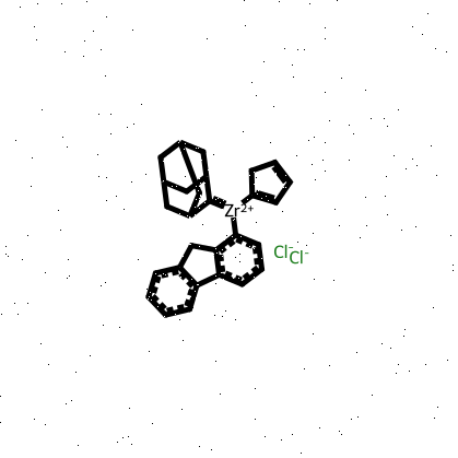 C1=CC[C]([Zr+2](=[C]2C3CC4CC(C3)CC2C4)[c]2cccc3c2Cc2ccccc2-3)=C1.[Cl-].[Cl-]